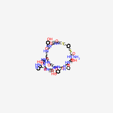 CCC[C@@H]1NC(=O)[C@H](Cc2c[nH]c3ncccc23)NC(=O)[C@@H]([C@@H](C)O)NC(=O)C2CCCNC(=O)CCC(NC1=O)C(=O)N[C@@H](Cc1ccc(O)cc1)C(=O)N[C@@H](C1CCCCC1)C(=O)N[C@@H]([C@@H](C)O)C(=O)N[C@@H](C(N)=O)CSCc1cccc(c1)CSCCC(=O)N[C@@H](C(C)(C)C)C(=O)N[C@@H](Cc1ccc(O)cc1)C(=O)NC2